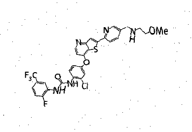 COCCNCc1ccc(-c2cc3nccc(Oc4ccc(NC(=O)Nc5cc(C(F)(F)F)ccc5F)c(Cl)c4)c3s2)nc1